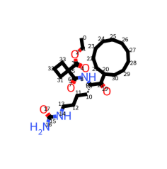 CCOC(=O)C1(C(=O)N[C@@H](CCCCNC(N)=O)C(=O)C2CCCCCCCCCC2)CCC1